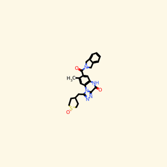 Cc1cc2c(cc1C(=O)N1Cc3ccccc3C1)[nH]c(=O)c1nnc(CC3CC[S+]([O-])CC3)n12